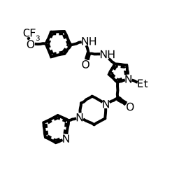 CCn1cc(NC(=O)Nc2ccc(OC(F)(F)F)cc2)cc1C(=O)N1CCN(c2ccccn2)CC1